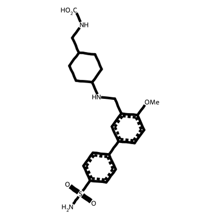 COc1ccc(-c2ccc(S(N)(=O)=O)cc2)cc1CNC1CCC(CNC(=O)O)CC1